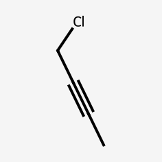 CC#CCCl